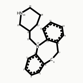 c1ccc2c(c1)CCc1ccccc1N2CC1CCCNC1